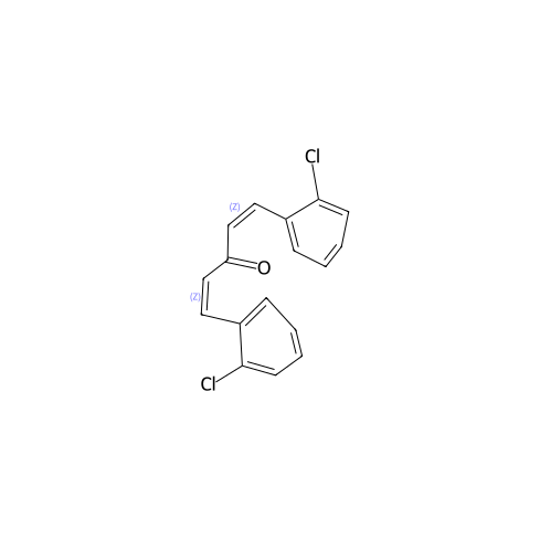 O=C(/C=C\c1ccccc1Cl)/C=C\c1ccccc1Cl